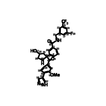 COc1cc(C(=O)[C@]2(c3cccc(C(=O)NCc4cc(F)cc(C(F)(F)F)c4)c3)CC(O)CN2)ccc1-c1cn[nH]c1